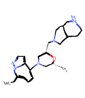 C[C@@H]1CN(c2ccc(C#N)n3nccc23)C[C@H](CN2CC3CCNCC3C2)O1